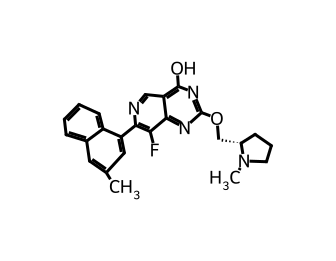 Cc1cc(-c2ncc3c(O)nc(OC[C@@H]4CCCN4C)nc3c2F)c2ccccc2c1